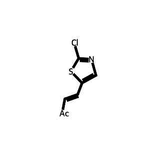 CC(=O)/C=C/c1cnc(Cl)s1